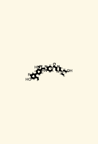 CCc1cc(O)c(F)cc1-c1ccc2c(-c3nc4c([nH]3)CCN(C(=O)c3cnc(N(CC)CCO)cn3)C4)n[nH]c2c1